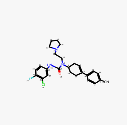 N#Cc1ccc(C2=CCC(N(CCN3CCCC3)C(=O)Nc3ccc(F)c(Cl)c3)CC2)cc1